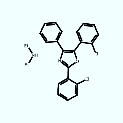 CCNCC.Clc1ccccc1-c1nc(-c2ccccc2)c(-c2ccccc2Cl)o1